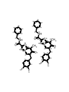 Cc1c(=O)c(Cc2ccc(F)c(F)c2)cn2nc(C(=O)NCc3ccccc3)oc12.Cc1c(=O)c(Cc2ccc(F)c(F)c2)cn2nc(C(=O)NCc3ccccc3)sc12